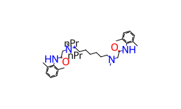 CCC[N+](CCC)(CCCCCCCN(C)CC(=O)Nc1c(C)cccc1C)CC(=O)Nc1c(C)cccc1C